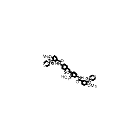 COc1ccc(C(=O)Nc2ccc(C=Cc3ccc(NC(=O)c4ccc(OC)c(S(=O)(=O)N5CCSCC5)c4)cc3S(=O)(=O)O)c(S(=O)(=O)O)c2)cc1S(=O)(=O)N1CCSCC1